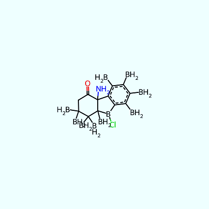 Bc1c(B)c(B)c2c(c1B)B(Cl)C1(B)C2(N)C(=O)CC(B)(B)C1(B)B